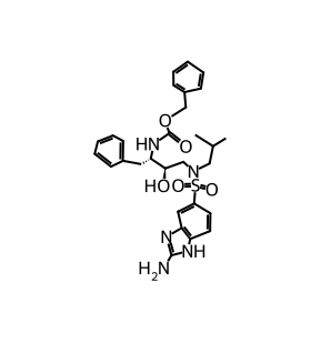 CC(C)CN(C[C@@H](O)[C@H](Cc1ccccc1)NC(=O)OCc1ccccc1)S(=O)(=O)c1ccc2[nH]c(N)nc2c1